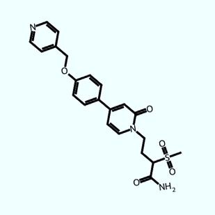 CS(=O)(=O)C(CCn1ccc(-c2ccc(OCc3ccncc3)cc2)cc1=O)C(N)=O